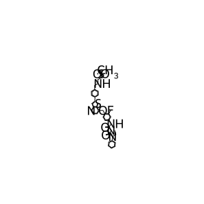 CS(=O)(=O)CCNCc1ccc(-c2cc3nccc(Oc4ccc(NC(=O)N5CCN(c6ccccc6)C5=O)cc4F)c3s2)cc1